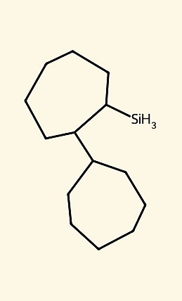 [SiH3]C1CCCCCC1C1CCCCCC1